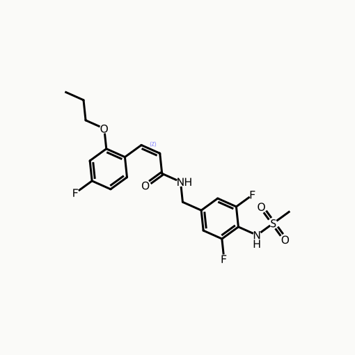 CCCOc1cc(F)ccc1/C=C\C(=O)NCc1cc(F)c(NS(C)(=O)=O)c(F)c1